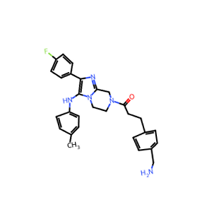 Cc1ccc(Nc2c(-c3ccc(F)cc3)nc3n2CCN(C(=O)CCc2ccc(CN)cc2)C3)cc1